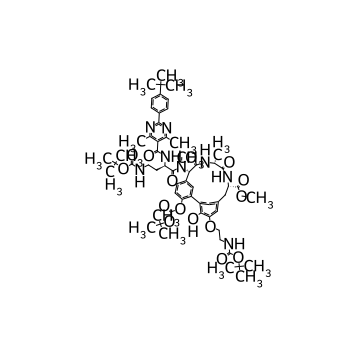 COC(=O)[C@@H]1Cc2cc(OCCNC(=O)OC(C)(C)C)c(O)c(c2)-c2cc(ccc2OC(=O)OC(C)(C)C)[C@H](N(C)C(=O)[C@@H](CCNC(=O)OC(C)(C)C)NC(=O)c2c(C)nc(-c3ccc(C(C)(C)C)cc3)nc2C)C(=O)N[C@H](C)C(=O)N1